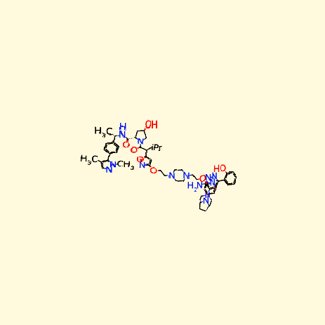 Cc1cnn(C)c1-c1ccc([C@H](C)NC(=O)[C@@H]2C[C@@H](O)CN2C(=O)[C@H](c2cc(OCCN3CCN(CCOc4cc(N5C6CCC5CN(c5cc(-c7ccccc7O)nnc5N)C6)ccn4)CC3)no2)C(C)C)cc1